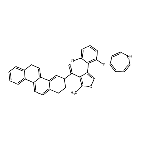 C1=CC=CNC=C1.Cc1onc(-c2c(F)cccc2Cl)c1C(=O)C1C=c2c(ccc3c2=CCc2ccccc2-3)CC1